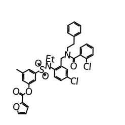 CCN(c1ccc(Cl)cc1CN(CCc1ccccc1)C(=O)c1ccccc1Cl)S(=O)(=O)c1cc(C)cc(OC(=O)c2ccco2)c1